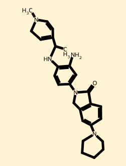 CC(Nc1ccc(N2Cc3cc(N4CCCCC4)ccc3C2=O)cc1N)C1=CCN(C)C=C1